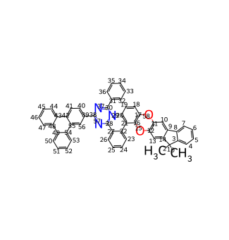 CC1(C)c2ccccc2-c2cc3c(cc21)Oc1c(cccc1-c1ccccc1-c1nc(-c2ccccc2)nc(-c2ccc4c5ccccc5c5ccccc5c4c2)n1)O3